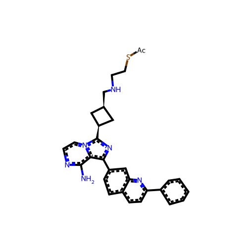 CC(=O)SCCNC[C@H]1C[C@@H](c2nc(-c3ccc4ccc(-c5ccccc5)nc4c3)c3c(N)nccn32)C1